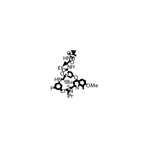 CC[C@@H]1C[C@]1(NC(=O)[C@@H]1C[C@@H](Oc2cc(-c3nc(C(C)C)cs3)nc3c(C)c(OC)ccc23)CN1C(=O)[C@@H](Nc1cc(F)cc(C(F)(F)F)c1)C(C)(C)C)C(=O)NS(=O)(=O)C1(C)CC1